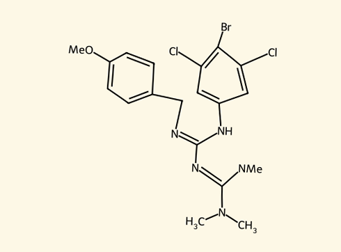 CN/C(=N\C(=N\Cc1ccc(OC)cc1)Nc1cc(Cl)c(Br)c(Cl)c1)N(C)C